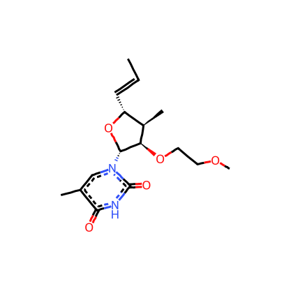 C/C=C/[C@H]1O[C@@H](n2cc(C)c(=O)[nH]c2=O)[C@H](OCCOC)[C@@H]1C